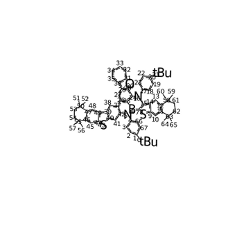 CC(C)(C)c1ccc(N2B3c4sc5cc6c(cc5c4N(c4ccc(C(C)(C)C)cc4)c4c3c(cc3c4oc4ccccc43)-c3cc4c(cc32)sc2cc3c(cc24)C(C)(C)CCC3(C)C)C(C)(C)CCC6(C)C)cc1